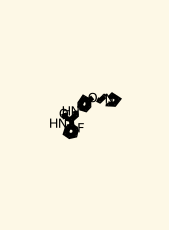 O=C1Nc2cccc(F)c2C1=CNc1ccc(OCCN2CCCC2)cc1